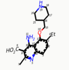 CCc1ccc2nc(C)c(C(=O)O)c(N)c2c1OCC1CCNCC1